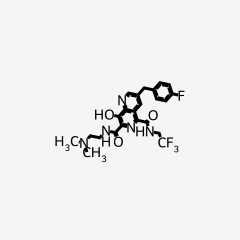 CN(C)CCNC(=O)c1nc(C(=O)NCC(F)(F)F)c2cc(Cc3ccc(F)cc3)cnc2c1O